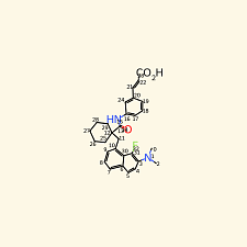 CN(C)c1ccc2cccc(CC3(C(=O)Nc4cccc(/C=C/C(=O)O)c4)CCCCC3)c2c1F